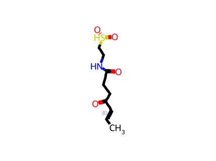 C/C=C/C(=O)CCC(=O)NCC[SH](=O)=O